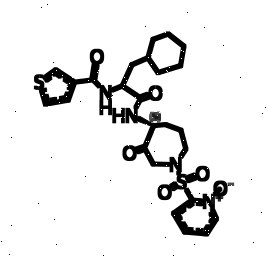 O=C(NC(CC1CCCCC1)C(=O)N[C@H]1CCCN(S(=O)(=O)c2cccc[n+]2[O-])CC1=O)c1ccsc1